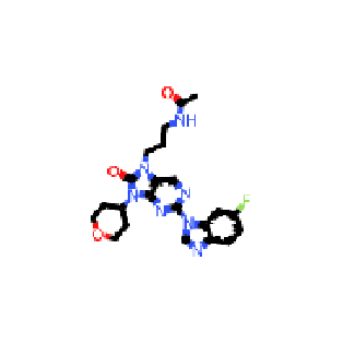 CC(=O)NCCCn1c(=O)n(C2CCOCC2)c2nc(-n3cnc4ccc(F)cc43)ncc21